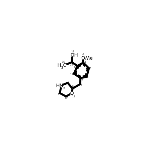 COc1ccc(CC2CNCCO2)cc1C(C)O